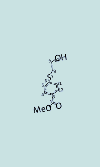 COC(=O)c1ccc(SCCO)cc1